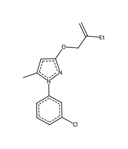 C=C(CC)COc1cc(C)n(-c2cccc(Cl)c2)n1